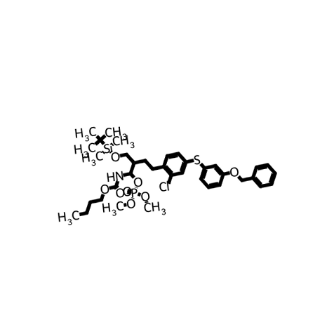 CCCCOC(=O)NC(OP(=O)(OC)OC)C(CCc1ccc(Sc2cccc(OCc3ccccc3)c2)cc1Cl)CO[Si](C)(C)C(C)(C)C